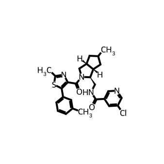 Cc1cccc(-c2sc(C)nc2C(=O)N2C[C@@H]3CC(C)C[C@@H]3[C@H]2CNC(=O)c2cncc(Cl)c2)c1